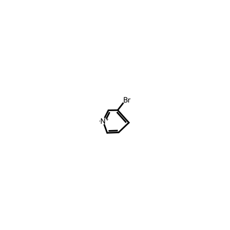 BrC1=CC=C[N+]=C1